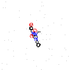 COc1ccc(CN2C(=O)N(CC(C)C)C3(CCN(C4Cc5ccccc5C4)CC3)C2=O)cc1